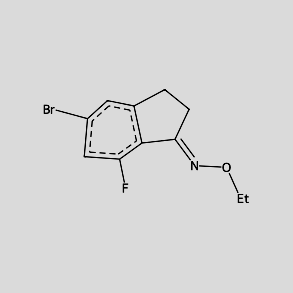 CCO/N=C1\CCc2cc(Br)cc(F)c21